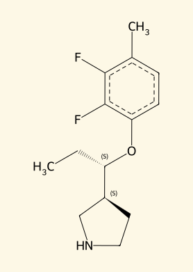 CC[C@H](Oc1ccc(C)c(F)c1F)[C@H]1CCNC1